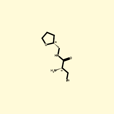 CC(C)C[C@H](N)C(=O)NC[C@H]1CCCO1